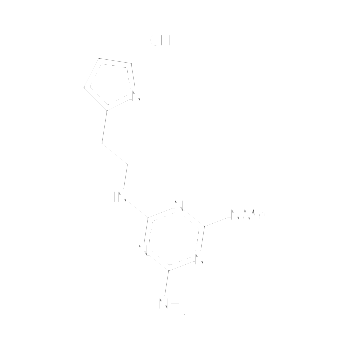 CNc1nc(N)nc(NCCc2ccc(C)[nH]2)n1